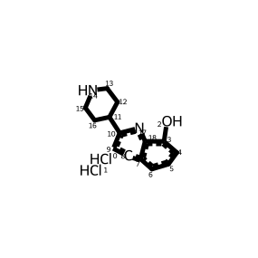 Cl.Cl.Oc1cccc2ccc(C3CCNCC3)nc12